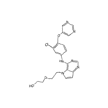 OCCOCCn1ccc2ncnc(Nc3ccc(Oc4cncnc4)c(Cl)c3)c21